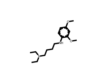 CCN(CC)CCCCNc1c[c]c(OC)cc1OC